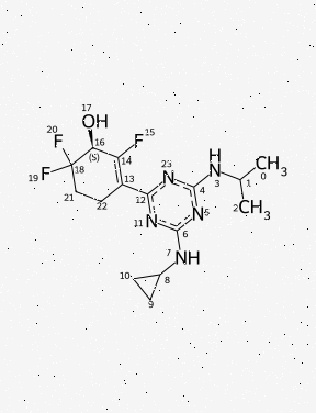 CC(C)Nc1nc(NC2CC2)nc(C2=C(F)[C@H](O)C(F)(F)CC2)n1